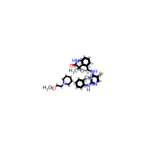 COCCN1CCC[C@H](c2ccc(Nc3ncc(Br)c(NCc4cccc5c4C(C)(C)C(=O)N5)n3)c(C)c2)C1